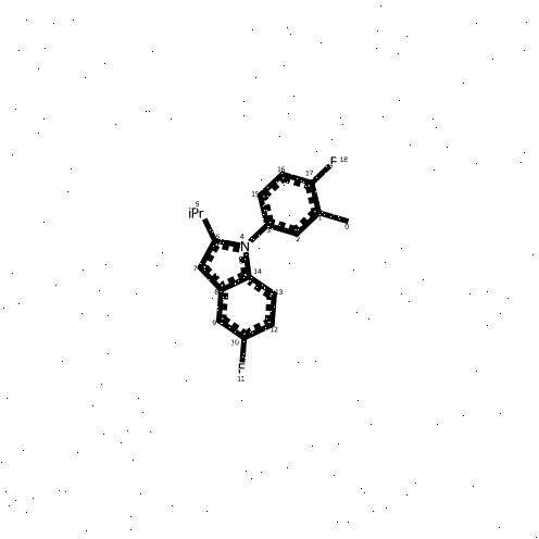 Cc1cc(-n2c(C(C)C)cc3cc(F)ccc32)ccc1F